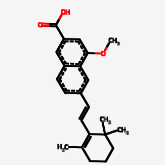 COc1cc(C(=O)O)cc2ccc(C=CC3=C(C)CCCC3(C)C)cc12